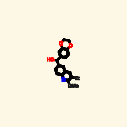 CCc1cc2cc(C(O)c3ccc4c(c3)OCCO4)ccc2nc1OC